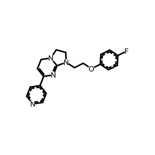 Fc1ccc(OCCN2CCN3CC=C(c4ccncc4)N=C32)cc1